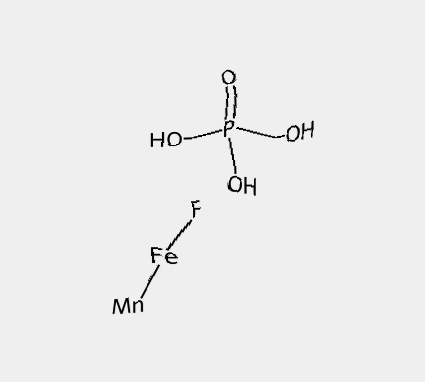 O=P(O)(O)O.[F][Fe][Mn]